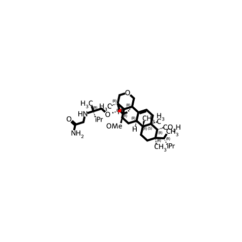 CO[C@@H]1C[C@@]23COC[C@@](C)([C@@H]2CC[C@H]2C3=CC[C@@]3(C)[C@H](C(=O)O)[C@@](C)([C@H](C)C(C)C)CC[C@]23C)[C@H]1OC[C@](C)(NCC(N)=O)C(C)C